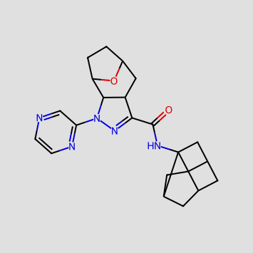 O=C(NC12CC3CC4CC1CC432)C1=NN(c2cnccn2)C2C3CCC(CC12)O3